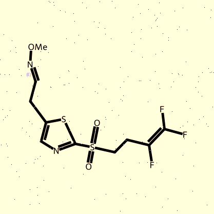 CO/N=C/Cc1cnc(S(=O)(=O)CCC(F)=C(F)F)s1